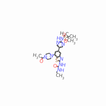 CCNC(=O)Nc1nc2cc(-c3cnc(NS(=O)(=O)C(C)(C)C)nc3)cc(N3CCN(C(C)=O)CC3)c2s1